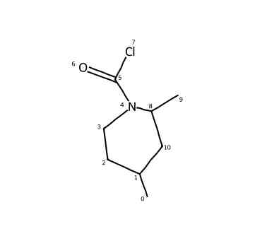 CC1CCN(C(=O)Cl)C(C)C1